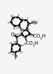 O=C(O)c1c(C(=O)O)c2c(Br)cc3ccccc3n2c1C(=O)c1ccc(F)cc1